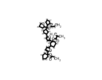 C=CC(=O)OC1(c2ccc(C3CCCC(OC(=O)C(=C)C)(c4ccc(C5CCC(C(OC(=O)C=C)(C6CCCC6)C6CCCO6)C5)o4)C3)o2)CCCCC1